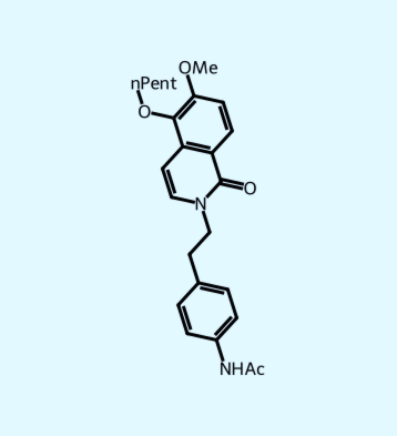 CCCCCOc1c(OC)ccc2c(=O)n(CCc3ccc(NC(C)=O)cc3)ccc12